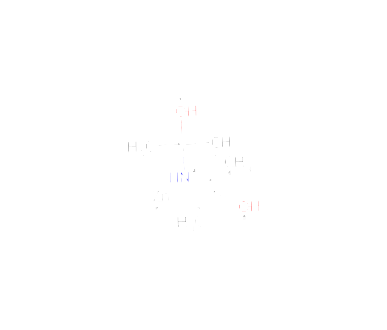 CC(C)(O)NC(C)(C)O.[Zn]